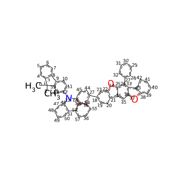 CC1(C)c2ccccc2-c2ccc(N(c3ccc(-c4ccc5c(c4)oc4c(-c6ccccc6)c6c(cc45)oc4ccccc46)cc3)c3ccccc3-c3ccccc3)cc21